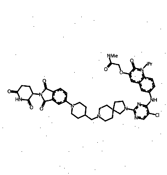 CNC(=O)COc1cc2cc(Nc3nc(N4CCC5(CCN(CC6CCN(c7ccc8c(c7)C(=O)N(C7CCC(=O)NC7=O)C8=O)CC6)CC5)C4)ncc3Cl)ccc2n(C(C)C)c1=O